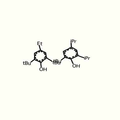 CC(C)c1cc(C(C)C)c(O)c(C(C)(C)C)c1.CCc1cc(C(C)(C)C)c(O)c(C(C)(C)C)c1